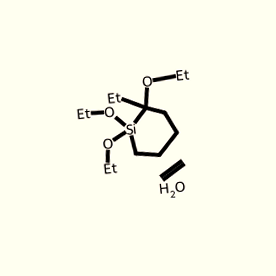 C=C.CCOC1(CC)CCCC[Si]1(OCC)OCC.O